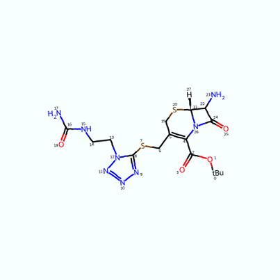 CC(C)(C)OC(=O)C1=C(CSc2nnnn2CCNC(N)=O)CS[C@@H]2C(N)C(=O)N12